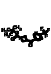 CC(C)(C)OC(=O)N1CC(C(=O)c2ccc(C(F)(F)F)nc2)C1